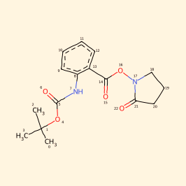 CC(C)(C)OC(=O)Nc1ccccc1C(=O)ON1CCCC1=O